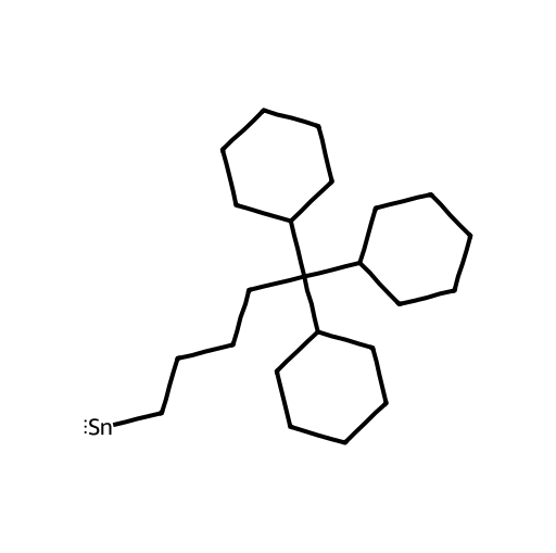 [Sn][CH2]CCCC(C1CCCCC1)(C1CCCCC1)C1CCCCC1